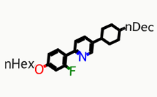 CCCCCCCCCCC1CCC(c2ccc(-c3ccc(OCCCCCC)cc3F)nc2)CC1